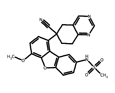 COc1ccc(C2(C#N)CCc3ncncc3C2)c2c1oc1ccc(NS(C)(=O)=O)cc12